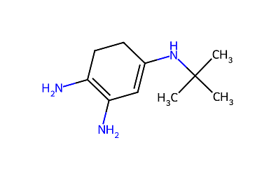 CC(C)(C)NC1=CC(N)=C(N)CC1